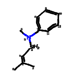 CC(C)=C[SiH2]N(C)c1ccccc1